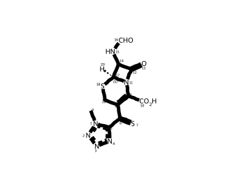 Cn1nnnc1C(=S)C1=C(C(=O)O)N2C(=O)C(NC=O)[C@@H]2SC1